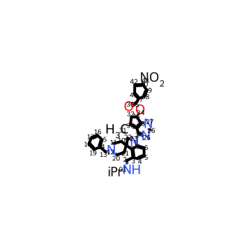 CC(C)NCc1cccc2c1C1(CCN(Cc3ccccc3)CC1)CN2c1ncnc2c1[C@H](C)C[C@H]2OC(=O)c1ccc([N+](=O)[O-])cc1